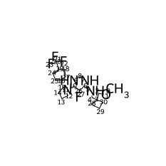 COCC1(CNC2NCNC(N3CCC[C@@H]3c3ccc(C(F)(F)F)cc3)C2F)CCC1